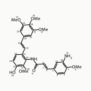 COc1ccc(/C=C/C(=O)Nc2c(C=Cc3cc(OC)c(OC)c(OC)c3)ccc(O)c2OC)cc1N